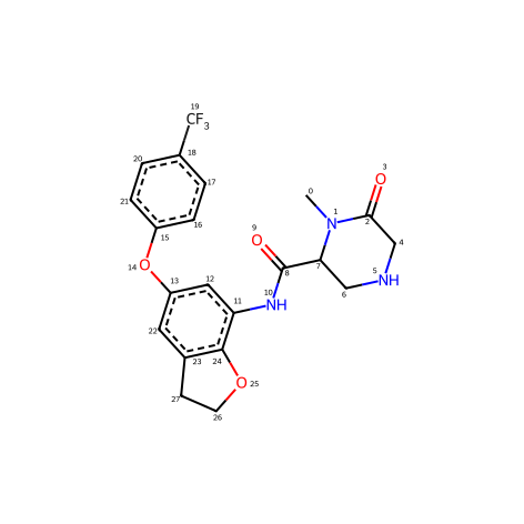 CN1C(=O)CNCC1C(=O)Nc1cc(Oc2ccc(C(F)(F)F)cc2)cc2c1OCC2